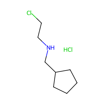 Cl.ClCCNCC1CCCC1